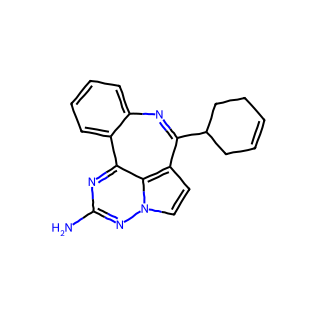 Nc1nc2c3c(ccn3n1)C(C1CC=CCC1)=Nc1ccccc1-2